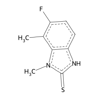 Cc1c(F)ccc2[nH]c(=S)n(C)c12